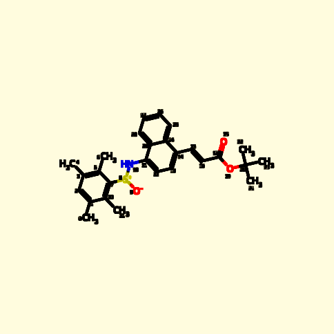 Cc1cc(C)c(C)c([S+]([O-])Nc2ccc(/C=C/C(=O)OC(C)(C)C)c3ccccc23)c1C